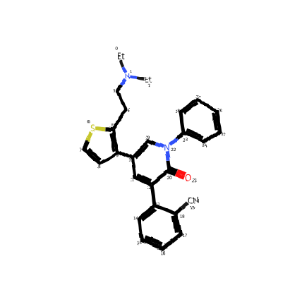 CCN(CC)CCc1sccc1-c1cc(-c2ccccc2C#N)c(=O)n(-c2ccccc2)c1